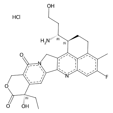 CC[C@@]1(O)C(=O)OCc2c1cc1n(c2=O)Cc2c-1nc1cc(F)c(C)c3c1c2[C@@H]([C@H](N)CCO)CC3.Cl